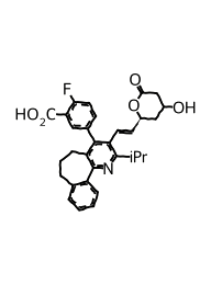 CC(C)c1nc2c(c(-c3ccc(F)c(C(=O)O)c3)c1/C=C/[C@@H]1CC(O)CC(=O)O1)CCCc1ccccc1-2